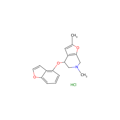 Cc1cc2c(o1)CN(C)CC2Oc1cccc2occc12.Cl